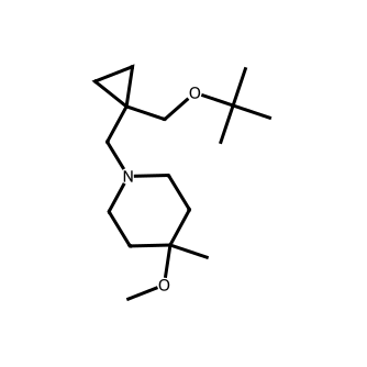 COC1(C)CCN(CC2(COC(C)(C)C)CC2)CC1